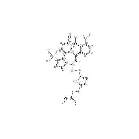 COC(=O)CCc1cnc(CC[C@H]2S[C@H](c3cccc(OC)c3OC)c3cc(Cl)ccc3-n3c2nnc3C(F)(F)F)o1